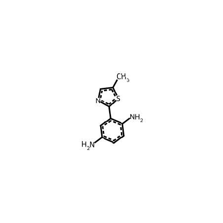 Cc1cnc(-c2cc(N)ccc2N)s1